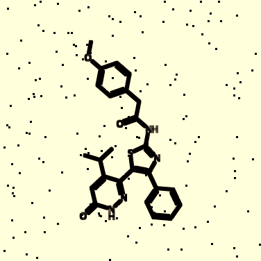 COc1ccc(CC(=O)Nc2nc(-c3ccccc3)c(-c3n[nH]c(=O)cc3C(C)C)s2)cc1